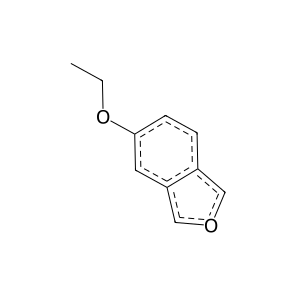 CCOc1ccc2cocc2c1